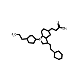 CCCC1CCC(N2CC(CCC3CCCCC3)C3CC(CCC(=O)O)CCC32)CC1